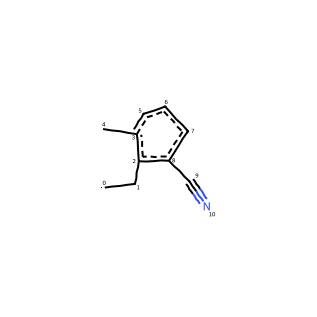 [CH2]Cc1c(C)cccc1C#N